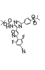 CC(C)S(=O)(=O)c1ccc(-c2cnc(NC(=O)OC(C)(C)C)c(-c3cc(-c4c(F)cc(C#N)cc4F)no3)n2)cc1